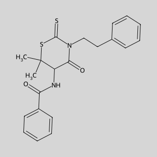 CC1(C)SC(=S)N(CCc2ccccc2)C(=O)C1NC(=O)c1ccccc1